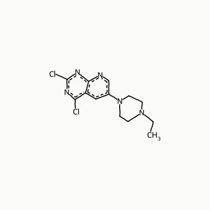 CCN1CCN(c2cnc3nc(Cl)nc(Cl)c3c2)CC1